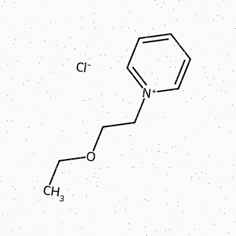 CCOCC[n+]1ccccc1.[Cl-]